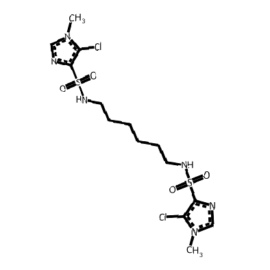 Cn1cnc(S(=O)(=O)NCCCCCCNS(=O)(=O)c2ncn(C)c2Cl)c1Cl